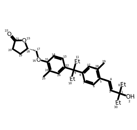 CCC(O)(C=Cc1ccc(C(CC)(CC)c2ccc(OC[C@@H]3CCC(=O)O3)c(C)c2)cc1C)CC